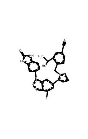 CC(O)c1cc(C#N)ccc1Cn1nccc1-c1cc(F)c2nnn(-c3ccc4[nH]c(=O)[nH]c4c3)c2c1